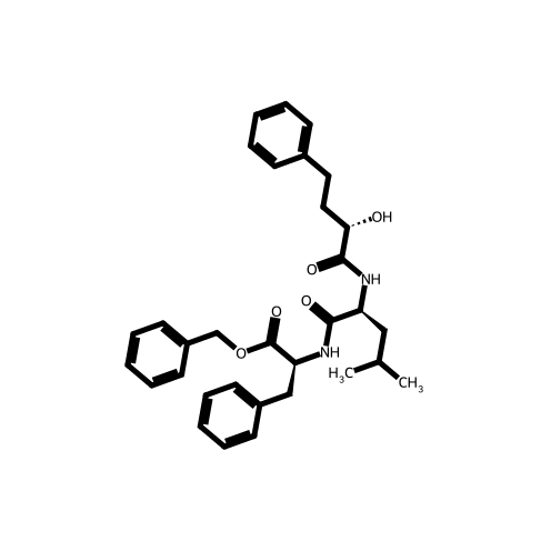 CC(C)C[C@H](NC(=O)[C@@H](O)CCc1ccccc1)C(=O)N[C@@H](Cc1ccccc1)C(=O)OCc1ccccc1